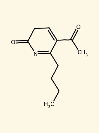 CCCCC1=NC(=O)CC=C1C(C)=O